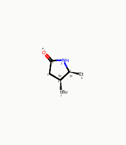 CC[C@@H]1NC(=O)C[C@@H]1C(C)(C)C